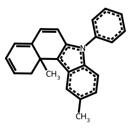 Cc1ccc2c(c1)c1c(n2-c2ccccc2)C=CC2=CC=CCC21C